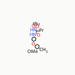 COc1cc(Oc2ccc(NC(=O)[C@H](NC(=O)OC(C)(C)C)C(C)C)cc2)ccc1C